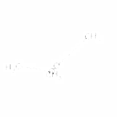 CCCCCCCCCCCCCCCCCCOCCOC(C)CCCCCCCCCCCCCC